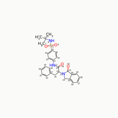 CC(C)(C)NS(=O)(=O)c1ccc(NC(=O)C(Cc2ccccc2)N2Cc3ccccc3C2=O)cc1